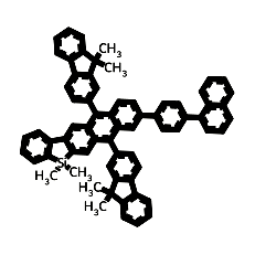 CC1(C)c2ccccc2-c2ccc(-c3c4ccc(-c5ccc(-c6cccc7ccccc67)cc5)cc4c(-c4ccc5c(c4)C(C)(C)c4ccccc4-5)c4cc5c(cc34)-c3ccccc3[Si]5(C)C)cc21